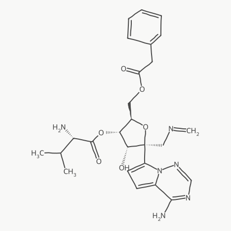 C=NC[C@@]1(c2ccc3c(N)ncnn23)O[C@H](COC(=O)Cc2ccccc2)[C@@H](OC(=O)[C@@H](N)C(C)C)[C@H]1O